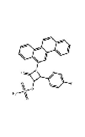 CS(=O)(=O)OC1C(=O)N(c2cc3c4ccccc4ccc3c3ccccc23)C1c1ccc(F)cn1